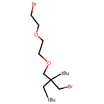 CC(C)(C)CC(CBr)(COCCOCCBr)C(C)(C)C